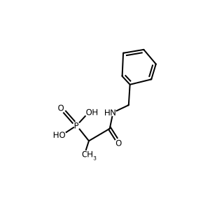 CC(C(=O)NCc1ccccc1)P(=O)(O)O